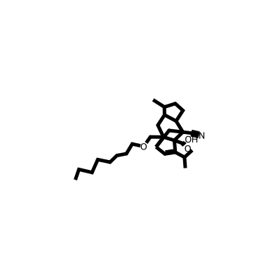 CCCCCCCCOCC12CC3C(C)CCC3C3(C#N)CC1C=C(C(C)C)C32C(=O)O